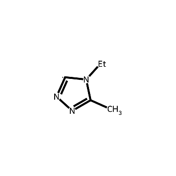 CCn1[c]nnc1C